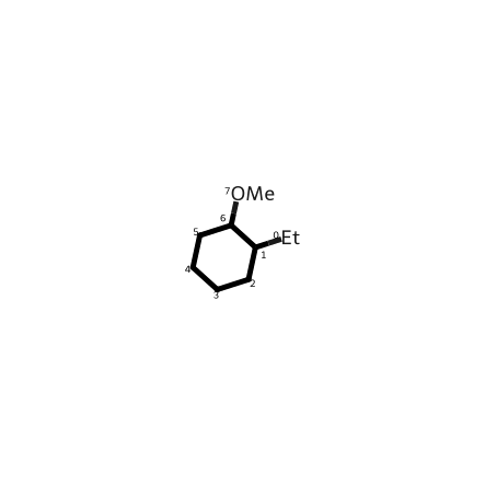 [CH2]CC1CCCCC1OC